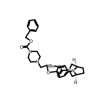 CC(C)(C)OC(=O)N1C[C@H]2CC[C@@H](C1)N2c1ccc(OCCN2CCN(C(=O)OCc3ccccc3)CC2)cc1